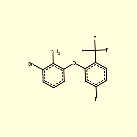 Nc1c(Br)cccc1Oc1cc(F)ccc1C(F)(F)F